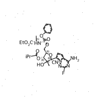 CCOC(=O)[C@H](C)N[P@](=O)(OC[C@H]1O[C@@](C#N)(c2ccc3c(N)nc(F)nn23)[C@](C)(O)[C@@H]1OC(=O)C(C)C)Oc1ccccc1